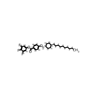 CCCCCCCCCC[C@H]1CC[C@H](COc2ccc(C(=O)Oc3cc(F)c(F)c(F)c3)cc2)CC1